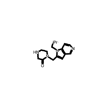 C[C](C)Cn1c(CN2CCNCC2=O)cc2cnccc21